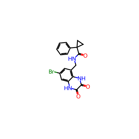 O=C(NCc1cc(Br)cc2[nH]c(=O)c(=O)[nH]c12)C1(c2ccccc2)CC1